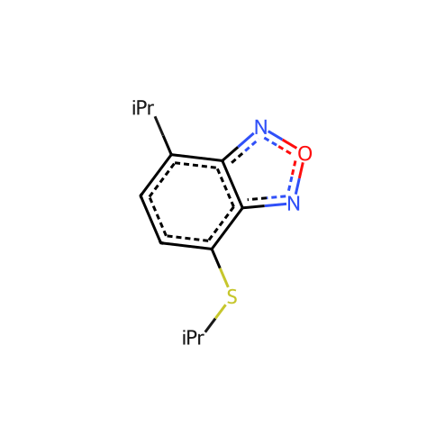 CC(C)Sc1ccc(C(C)C)c2nonc12